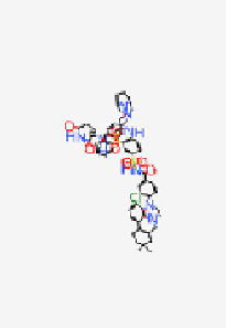 CC1(C)CCC(c2ccc(Cl)cc2)=C(CN2CCN(c3ccc(C(=O)NS(=O)(=O)c4ccc(N[C@H](CCN5C6CCC5CN(Cc5ccc(NC7CCC(=O)NC7=O)cc5)C6)CSc5ccccc5)c(S(=O)(=O)C(F)(F)F)c4)cc3)CC2)C1